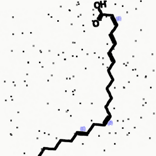 CCCCC/C=C/C/C=C\CCCCCC=CC=C/C=C\C(=O)O